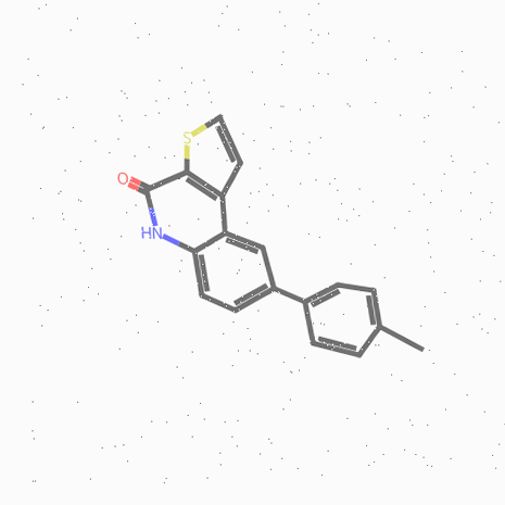 Cc1ccc(-c2ccc3[nH]c(=O)c4sccc4c3c2)cc1